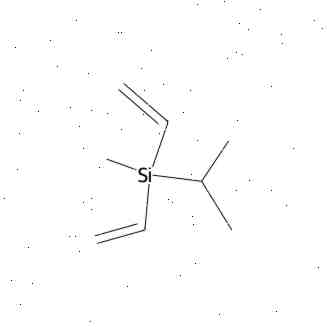 C=C[Si](C)(C=C)C(C)C